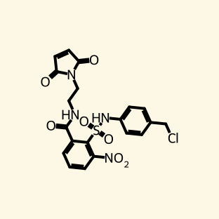 O=C(NCCN1C(=O)C=CC1=O)c1cccc([N+](=O)[O-])c1S(=O)(=O)Nc1ccc(CCl)cc1